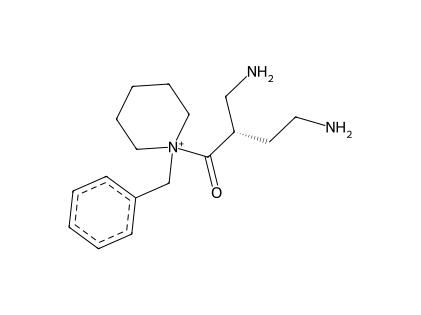 NCC[C@@H](CN)C(=O)[N+]1(Cc2ccccc2)CCCCC1